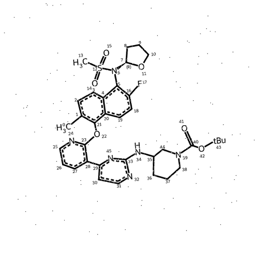 Cc1ccc2c(N([C@H]3CCCO3)S(C)(=O)=O)c(F)ccc2c1Oc1ncccc1-c1ccnc(NC2CCCN(C(=O)OC(C)(C)C)C2)n1